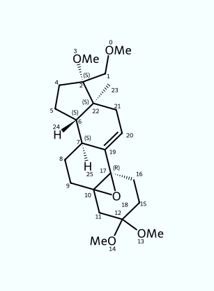 COC[C@]1(OC)CC[C@H]2[C@@H]3CCC45CC(OC)(OC)CC[C@@]4(O5)C3=CC[C@@]21C